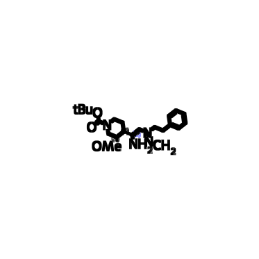 C=NN(/C=C(\N)[C@@H]1CCN(C(=O)OC(C)(C)C)C[C@H]1OC)CCc1ccccc1